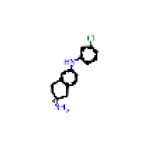 N[C@H]1CCc2cc(Nc3cccc(Cl)c3)ccc2C1